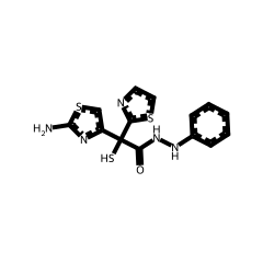 Nc1nc(C(S)(C(=O)NNc2ccccc2)c2nccs2)cs1